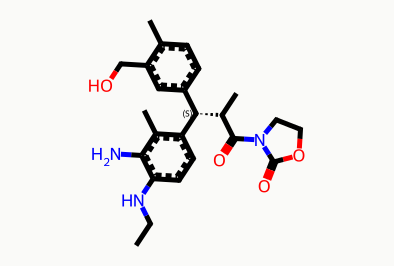 CCNc1ccc([C@H](c2ccc(C)c(CO)c2)C(C)C(=O)N2CCOC2=O)c(C)c1N